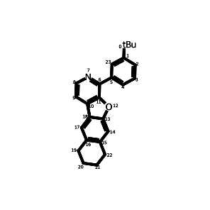 CC(C)(C)c1cccc(-c2nccc3c2oc2cc4c(cc23)CCCC4)c1